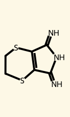 N=C1NC(=N)C2=C1SCCS2